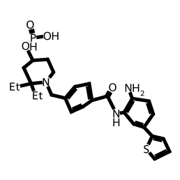 CCC1(CC)CC(O[PH](=O)O)CCN1Cc1ccc(C(=O)Nc2cc(-c3cccs3)ccc2N)cc1